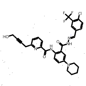 O=C(Nc1ccc(N2CCCCC2)cc1C(=O)N/N=C/c1ccc(Cl)c(C(F)(F)F)c1)c1cccc(CC#CCO)n1